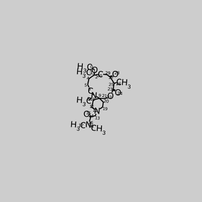 CO[C@]1(C)CCCN(C)C2(CCN(CC(=O)N(C)C)CC2)COC(=O)C(C)C(=O)CC1